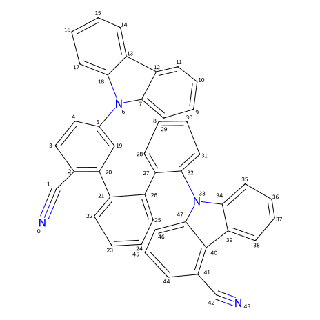 N#Cc1ccc(-n2c3ccccc3c3ccccc32)cc1-c1ccccc1-c1ccccc1-n1c2ccccc2c2c(C#N)cccc21